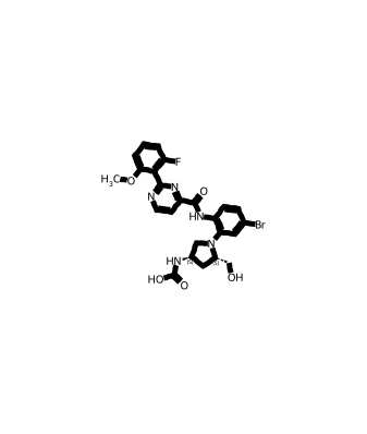 COc1cccc(F)c1-c1nccc(C(=O)Nc2ccc(Br)cc2N2C[C@@H](NC(=O)O)C[C@H]2CO)n1